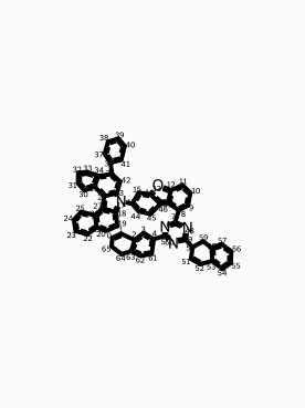 C1=Cc2cc(-c3nc(-c4cccc5oc6cc(-n7c8ccc9ccccc9c8c8c9ccccc9c(-c9ccccc9)cc87)ccc6c45)nc(C4C=Cc5ccccc5C4)n3)ccc2CC1